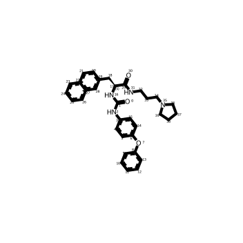 O=C(Nc1ccc(Oc2ccccc2)cc1)N[C@@H](Cc1ccc2ccccc2c1)C(=O)NCCCN1CCCC1